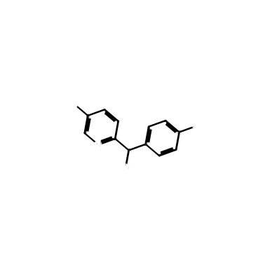 OC(c1ccc(Cl)cc1)c1ccc(F)cn1